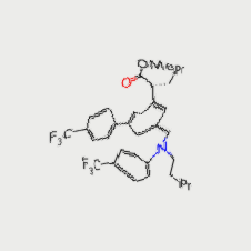 COC(=O)[C@H](CC(C)C)c1cc(CN(CCC(C)C)c2ccc(C(F)(F)F)cc2)cc(-c2ccc(C(F)(F)F)cc2)c1